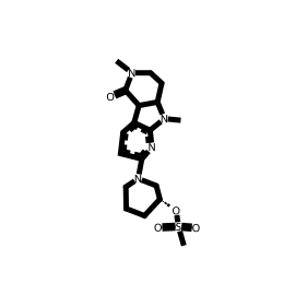 CN1CCC2C(C1=O)c1ccc(N3CCC[C@@H](OS(C)(=O)=O)C3)nc1N2C